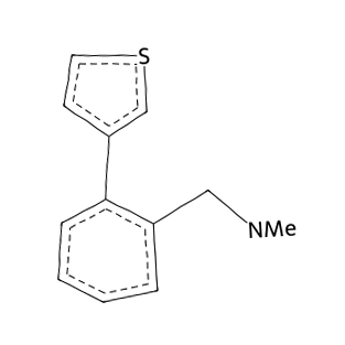 CNCc1ccccc1-c1ccsc1